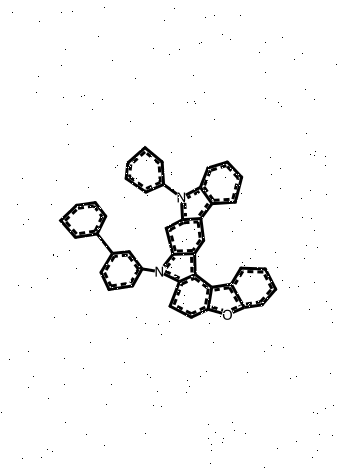 c1ccc(-c2cccc(-n3c4cc5c(cc4c4c6c(ccc43)oc3ccccc36)c3ccccc3n5-c3ccccc3)c2)cc1